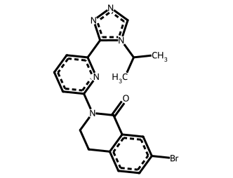 CC(C)n1cnnc1-c1cccc(N2CCc3ccc(Br)cc3C2=O)n1